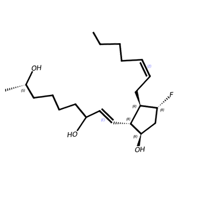 CCCC/C=C\C[C@@H]1[C@@H](/C=C/C(O)CCCC[C@H](C)O)[C@H](O)C[C@H]1F